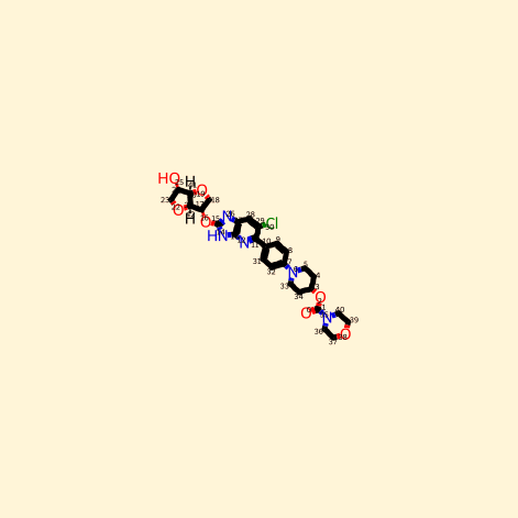 O=C(OC1CCN(c2ccc(-c3nc4[nH]c(O[C@@H]5CO[C@H]6[C@@H]5OC[C@H]6O)nc4cc3Cl)cc2)CC1)N1CCOCC1